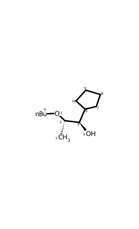 CCCCO[C@@H](C)[C@H](O)C1CCCC1